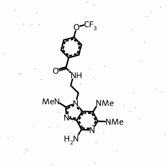 CNc1nc(N)c2nc(NC)n(CCNC(=O)c3ccc(OC(F)(F)F)cc3)c2c1NC